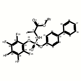 CC(C)OC(=O)[C@H](C)N[P@](=O)(Oc1ccc(-c2ccccc2)cc1)Oc1c(F)c(F)c(F)c(F)c1F